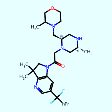 CCCC(F)(F)c1cnc2c(c1)N(C(=O)CN1C[C@@H](C)NC[C@@H]1CN1CCOCC1C)CC2(C)C